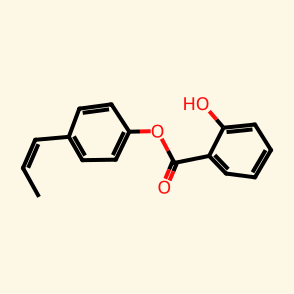 C/C=C\c1ccc(OC(=O)c2ccccc2O)cc1